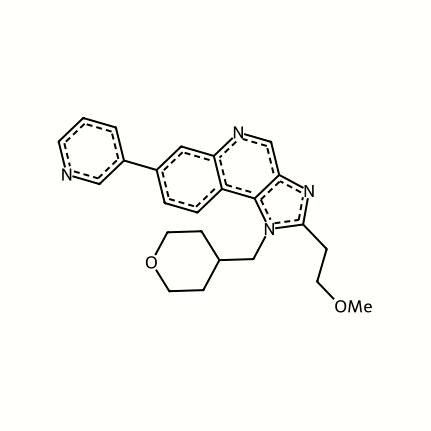 COCCc1nc2cnc3cc(-c4cccnc4)ccc3c2n1CC1CCOCC1